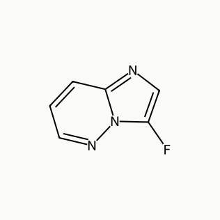 Fc1cnc2cccnn12